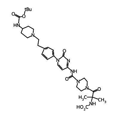 CC(C)(C)OC(=O)NC1CCN(CCc2ccc(-n3ccc(NC(=O)N4CCN(C(=O)C(C)(C)NC(=O)O)CC4)nc3=O)cc2)CC1